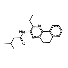 CCc1nc2c(nc1NC(=O)CC(C)C)CCc1ccccc1-2